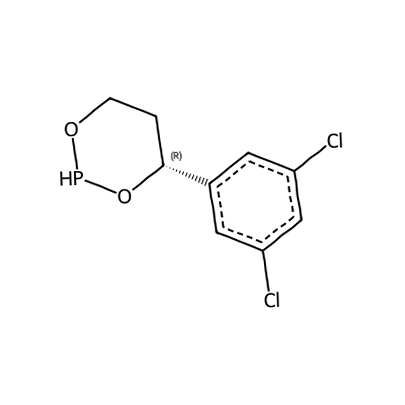 Clc1cc(Cl)cc([C@H]2CCOPO2)c1